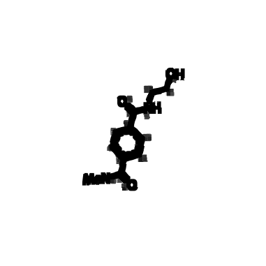 CNC(=O)c1ccc(C(=O)NCCO)cc1